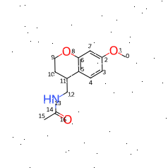 COc1ccc2c(c1)OCCC2CNC(C)=O